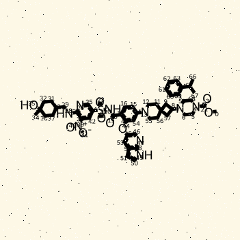 COC(=O)N1CCN(C2CC3(CCN(c4ccc(C(=O)NS(=O)(=O)c5cnc(NCC6CCC(C)(O)CC6)c([N+](=O)[O-])c5)c(Oc5cnc6[nH]ccc6c5)c4)CC3)C2)[C@H](c2ccccc2C(C)C)C1